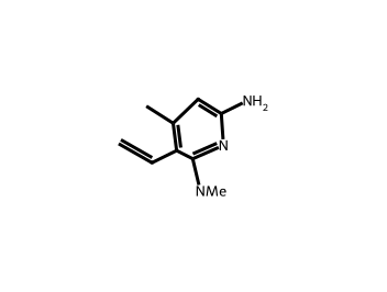 C=Cc1c(C)cc(N)nc1NC